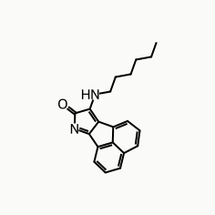 CCCCCCNC1=C2C(=NC1=O)c1cccc3cccc2c13